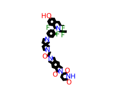 C[C@@H]1Cc2cc(O)ccc2[C@@H](c2c(F)cc(N3CCC4(CCN(CC(=O)N5Cc6cc7c(cc6C5)C(=O)N(C5CCC(=O)NC5=O)C7)C4)C3)cc2F)N1CC(C)(F)F